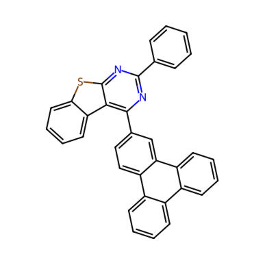 c1ccc(-c2nc(-c3ccc4c5ccccc5c5ccccc5c4c3)c3c(n2)sc2ccccc23)cc1